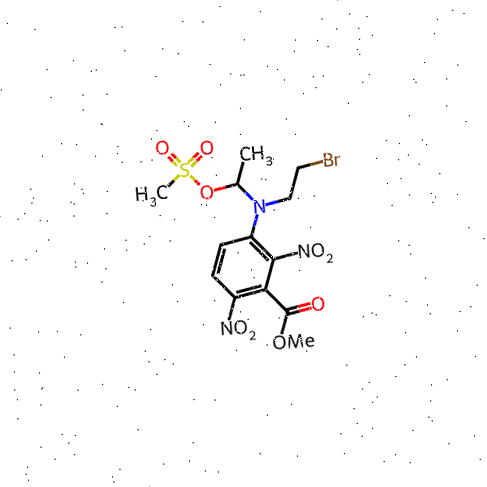 COC(=O)c1c([N+](=O)[O-])ccc(N(CCBr)C(C)OS(C)(=O)=O)c1[N+](=O)[O-]